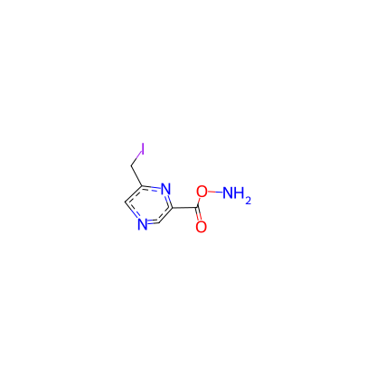 NOC(=O)c1cncc(CI)n1